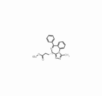 Cc1nnc2n1-c1ccccc1C(c1ccccc1)=N[C@H]2CCC(=O)OC(C)(C)C